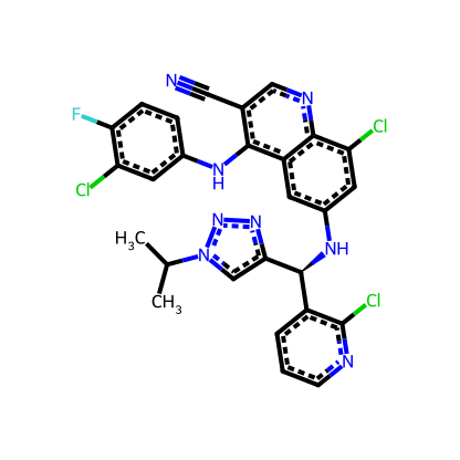 CC(C)n1cc([C@@H](Nc2cc(Cl)c3ncc(C#N)c(Nc4ccc(F)c(Cl)c4)c3c2)c2cccnc2Cl)nn1